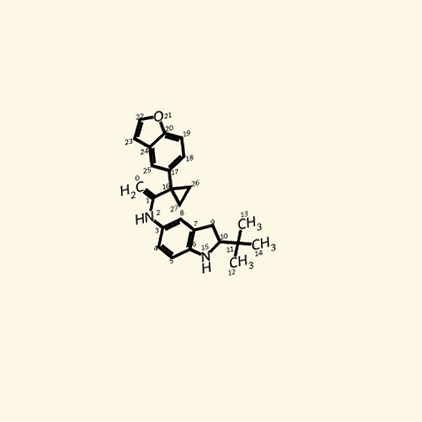 C=C(Nc1ccc2c(c1)CC(C(C)(C)C)N2)C1(c2ccc3occc3c2)CC1